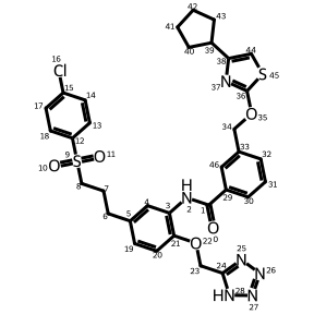 O=C(Nc1cc(CCCS(=O)(=O)c2ccc(Cl)cc2)ccc1OCc1nnn[nH]1)c1cccc(COc2nc(C3CCCC3)cs2)c1